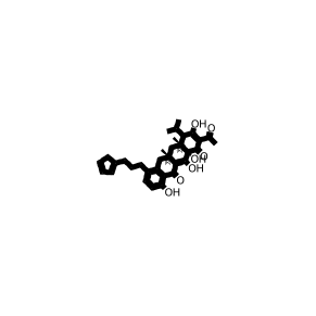 CC(=O)C1=C(O)C(C(C)C)[C@@]2(C)C[C@@]3(C)Cc4c(CCCC5=CC=CC5)ccc(O)c4C(=O)C3=C(O)[C@@]2(O)C1=O